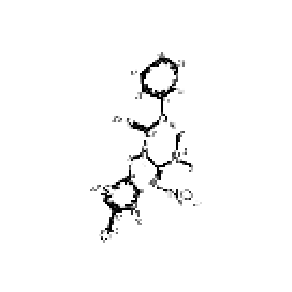 CN(C)C(=N[N+](=O)[O-])N(Cc1cnc(Cl)s1)C(=S)Oc1ccccc1